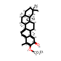 CCOC(=O)OC1=C(C)C2=CC=C3[C@@](C)(CC[C@@]4(C)[C@@H]5C[C@](C)(C(C)=O)CC[C@]5(C)CC[C@]34C)C2=CC1=O